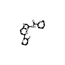 O=C(Nc1cnc2ccc(-c3ccccc3F)nn12)c1ccccn1